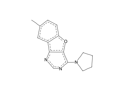 Cc1ccc2oc3c(N4CCCC4)ncnc3c2c1